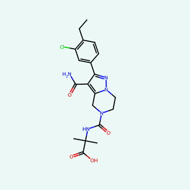 CCc1ccc(-c2nn3c(c2C(N)=O)CN(C(=O)NC(C)(C)C(=O)O)CC3)cc1Cl